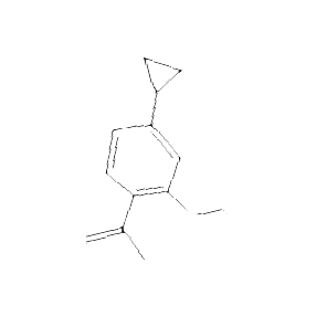 C=C(C)c1ccc(C2CC2)cc1SCC